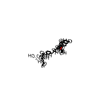 Cc1c([C@@H]2O[C@@H]3C[C@H]4[C@@H]5CCC6=CC(=O)C=C[C@]6(C)[C@H]5[C@@H](O)C[C@]4(C)[C@]3(C(=O)COP(=O)(O)O)O2)csc1Cc1cccc(NC(=O)[C@H](CCC(=O)O)NC(=O)CNC(=O)CBr)c1